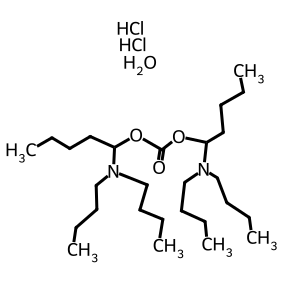 CCCCC(OC(=O)OC(CCCC)N(CCCC)CCCC)N(CCCC)CCCC.Cl.Cl.O